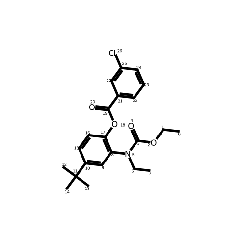 CCOC(=O)N(CC)c1cc(C(C)(C)C)ccc1OC(=O)c1cccc(Cl)c1